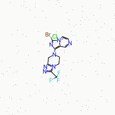 FC(F)(F)c1nnc2n1CCN(C1=C3C=NC=C[N+]3(Cl)C(Br)=N1)C2